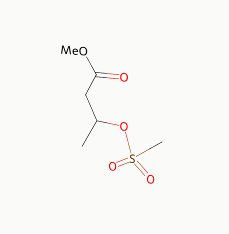 COC(=O)CC(C)OS(C)(=O)=O